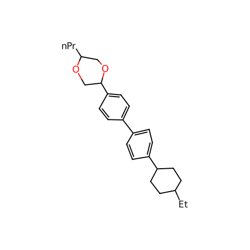 CCCC1COC(c2ccc(-c3ccc(C4CCC(CC)CC4)cc3)cc2)CO1